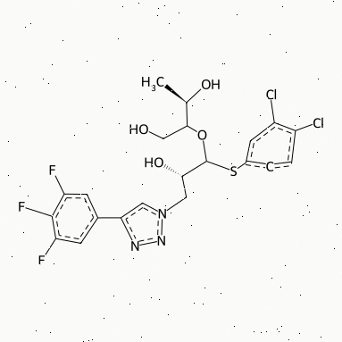 C[C@@H](O)C(CO)OC(Sc1ccc(Cl)c(Cl)c1)[C@@H](O)Cn1cc(-c2cc(F)c(F)c(F)c2)nn1